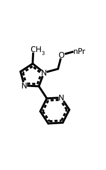 CCCOCn1c(C)cnc1-c1ccccn1